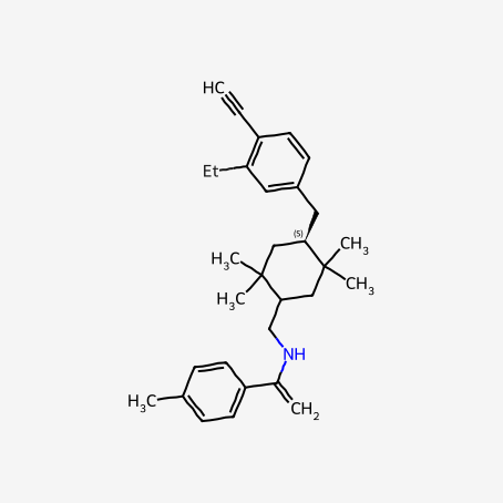 C#Cc1ccc(C[C@@H]2CC(C)(C)C(CNC(=C)c3ccc(C)cc3)CC2(C)C)cc1CC